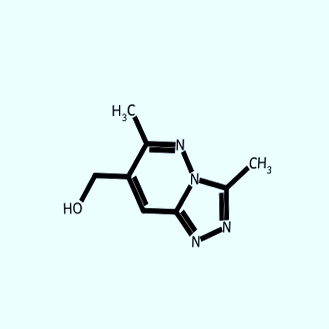 Cc1nn2c(C)nnc2cc1CO